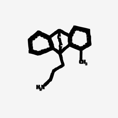 Cc1cccc2c1C1(CCCN)CCC2c2ccccc21